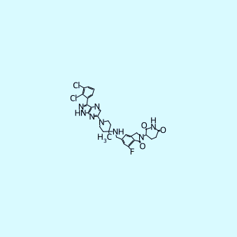 CC1(NCc2cc(F)c3c(c2)CN(C2CCC(=O)NC2=O)C3=O)CCN(c2cnc3c(-c4cccc(Cl)c4Cl)n[nH]c3n2)CC1